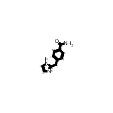 NC(=O)c1ccc(Cc2ncc[nH]2)cc1